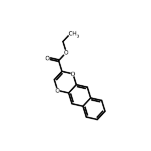 CCOC(=O)C1=COc2cc3ccccc3cc2O1